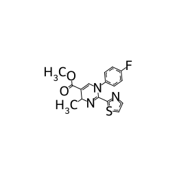 COC(=O)C1=CN(c2ccc(F)cc2)C(c2nccs2)=NC1C